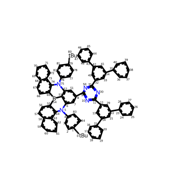 CC(C)(C)c1ccc(N2c3cc(-c4nc(-c5cc(-c6ccccc6)cc(-c6ccccc6)c5)nc(-c5cc(-c6ccccc6)cc(-c6ccccc6)c5)n4)cc4c3B(c3ccc5ccccc5c32)c2ccc3ccccc3c2N4c2ccc(C(C)(C)C)cc2)cc1